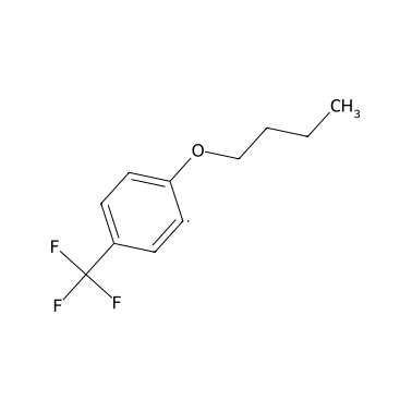 CCCCOc1[c]cc(C(F)(F)F)cc1